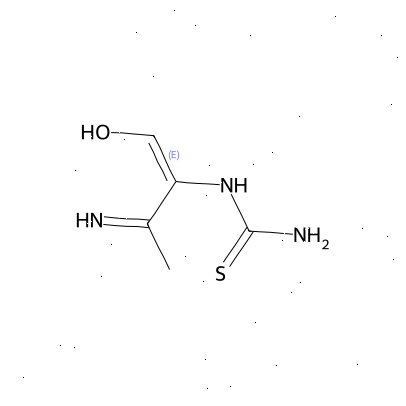 CC(=N)/C(=C\O)NC(N)=S